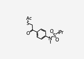 CC(=O)SCC(=O)c1ccc(N(C)S(=O)(=O)C(C)C)cc1